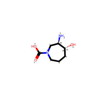 N[C@@H]1CN(C(=O)O)CCC[C@H]1O